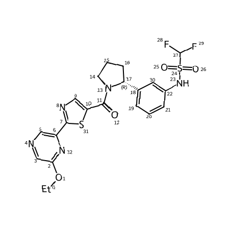 CCOc1cncc(-c2ncc(C(=O)N3CCC[C@@H]3c3cccc(NS(=O)(=O)C(F)F)c3)s2)n1